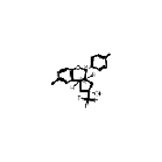 Cc1ccc([C@H]2Oc3ccc(C)cc3[C@H]3C[C@](O)(C(F)(F)F)C[C@H]32)cc1